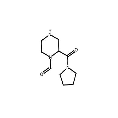 O=[C]N1CCNCC1C(=O)N1CCCC1